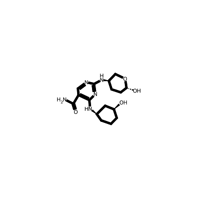 NC(=O)c1cnc(N[C@@H]2CC[C@@H](O)OC2)nc1N[C@@H]1CCC[C@H](O)C1